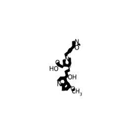 COc1ccc2nccc(C(O)CC[C@@H]3CCN(CC#Cc4cnco4)C[C@@H]3CC(=O)O)c2c1